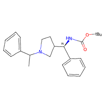 CC(c1ccccc1)N1CCC([C@@H](NC(=O)OC(C)(C)C)c2ccccc2)C1